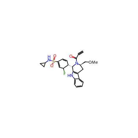 C#CC(=O)N1[C@@H](COC)Cc2c([nH]c3ccccc23)[C@@H]1C1C=CC(S(=O)(=O)NC2CC2)=CC1F